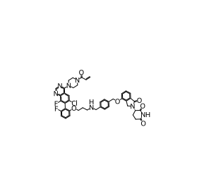 C=CC(=O)N1CCN(c2ncnc3c(F)c(-c4c(F)cccc4OCCCNCc4ccc(COc5cccc6c5CN([C@H]5CCC(=O)NC5=O)C6=O)cc4)c(Cl)cc23)CC1